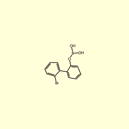 OB(O)Oc1ccccc1-c1ccccc1Br